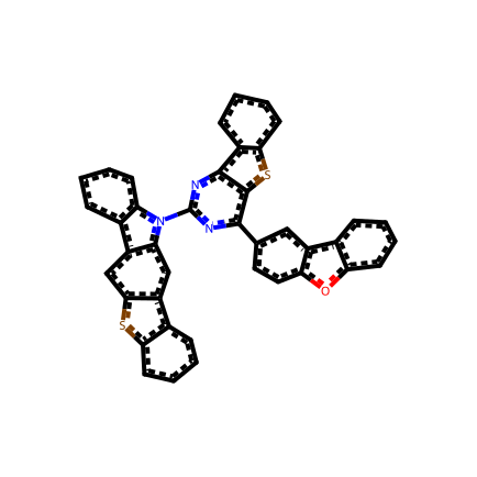 c1ccc2c(c1)oc1ccc(-c3nc(-n4c5ccccc5c5cc6sc7ccccc7c6cc54)nc4c3sc3ccccc34)cc12